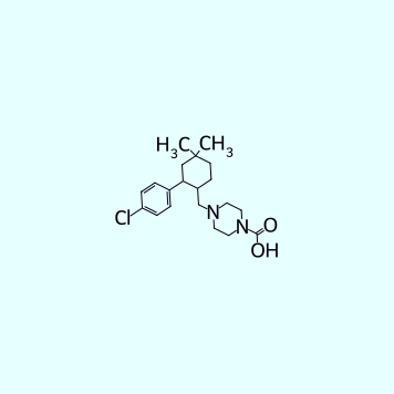 CC1(C)CCC(CN2CCN(C(=O)O)CC2)C(c2ccc(Cl)cc2)C1